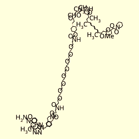 CO[C@@H](CC1CCCC(C(=O)C(=O)N2CCCCC2)O1)/C(C)=C/C=C/C=C/[C@@H](C)C[C@@H](C)C(=O)C[C@H](O)/C(C)=C/[C@@H](C)CC[C@@H](CC[C@H]1CC[C@H](OC(=O)NCCOCCOCCOCCOCCOCCOCCOCCOCCC(=O)NCCS(=O)(=O)N2CCc3cc(Cn4nc(-c5ccc6oc(N)nc6c5)c5c(N(C)C)ncnc54)ccc3C2)CC1)OC=O